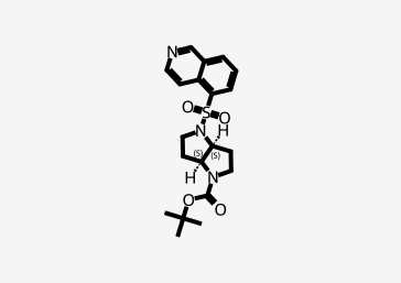 CC(C)(C)OC(=O)N1CC[C@H]2[C@@H]1CCN2S(=O)(=O)c1cccc2cnccc12